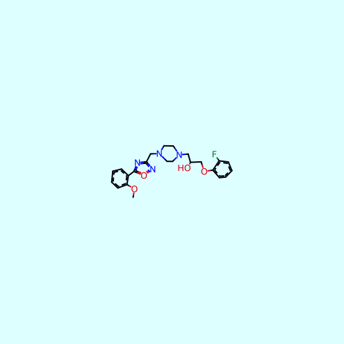 COc1ccccc1-c1nc(CN2CCN(CC(O)COc3ccccc3F)CC2)no1